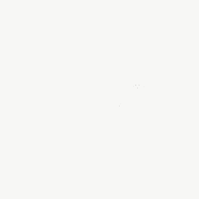 COC(=O)CCSc1ccccc1